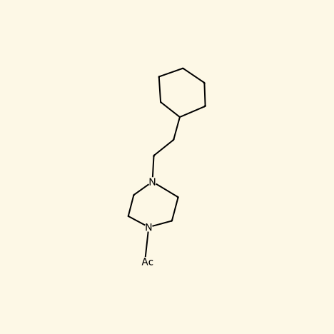 CC(=O)N1CCN(CCC2CCCCC2)CC1